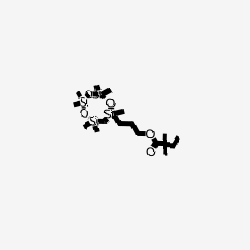 CCC(C)(C)C(=O)OCCC[Si]1(C)C[Si](C)(C)O[Si](C)(C)O[Si](C)(C)O1